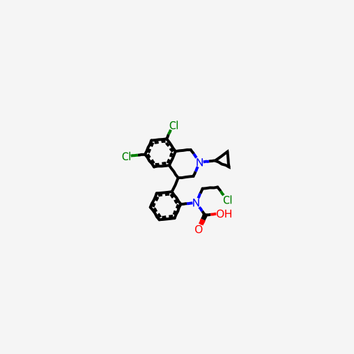 O=C(O)N(CCCl)c1ccccc1C1CN(C2CC2)Cc2c(Cl)cc(Cl)cc21